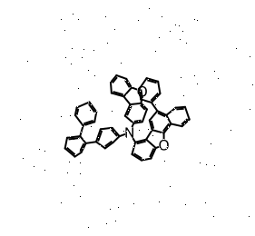 c1ccc(-c2ccccc2-c2ccc(N(c3ccc4oc5ccccc5c4c3)c3cccc4oc5c6ccccc6c(-c6ccccc6)cc5c34)cc2)cc1